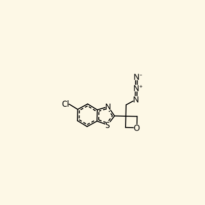 [N-]=[N+]=NCC1(c2nc3cc(Cl)ccc3s2)COC1